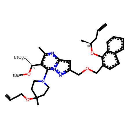 C=CCOC1(C)CCN(c2c([C@H](OC(C)(C)C)C(=O)OCC)c(C)nc3cc(COCc4ccc5ccccc5c4O[C@@H](C)CC=C)nn23)CC1